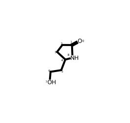 O=C1CCC(CCO)N1